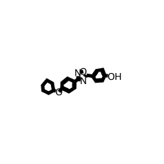 Oc1ccc(-c2nc(-c3ccc(OC4CCCCC4)cc3)no2)cc1